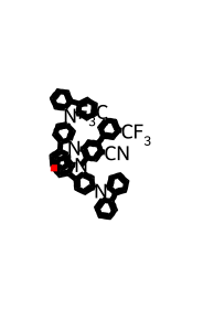 N#Cc1cc(-n2c3ccccc3c3ccc(-n4c5ccccc5c5ccccc54)cc32)c(-n2c3ccccc3c3ccc(-n4c5ccccc5c5ccccc54)cc32)cc1-c1cc(C(F)(F)F)cc(C(F)(F)F)c1